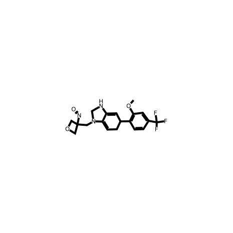 COc1cc(C(F)(F)F)ccc1C1C=C2NCN(CC3(N=O)COC3)C2=CC1